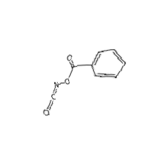 O=C=NOC(=O)c1ccccc1